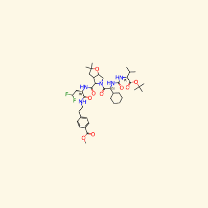 COC(=O)c1ccc(CCNC(=O)[C@@H](CC(F)F)NC(=O)C2C3CC(C)(C)OC3CN2C(=O)[C@@H](NC(=O)N[C@H](C(=O)OC(C)(C)C)C(C)C)C2CCCCC2)cc1